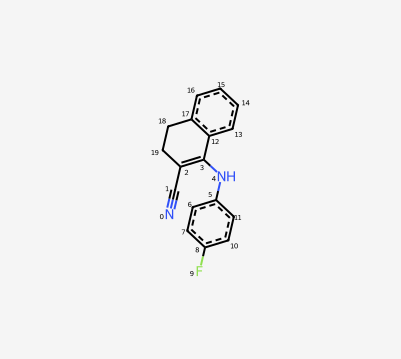 N#CC1=C(Nc2ccc(F)cc2)c2ccccc2CC1